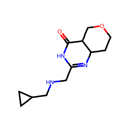 O=C1NC(CNCC2CC2)=NC2CCOCC12